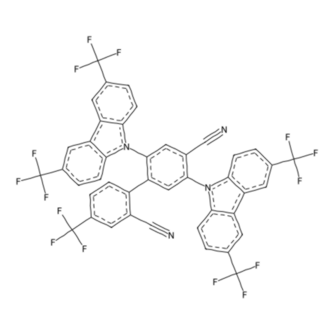 N#Cc1cc(C(F)(F)F)ccc1-c1cc(-n2c3ccc(C(F)(F)F)cc3c3cc(C(F)(F)F)ccc32)c(C#N)cc1-n1c2ccc(C(F)(F)F)cc2c2cc(C(F)(F)F)ccc21